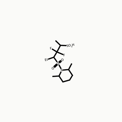 CCC(C(F)(F)C(C)S(=O)(=O)O)S(=O)(=O)N1C(C)CCCC1C